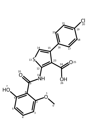 COc1cccc(O)c1C(=O)Nc1scc(-c2ccc(Cl)cc2)c1C(=O)O